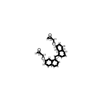 c1cc(Cc2cccc3ccc(OCC4CO4)cc23)c2cc(OCC3CO3)ccc2c1